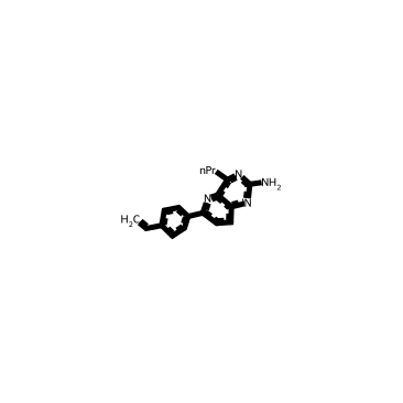 C=Cc1ccc(-c2ccc3nc(N)nc(CCC)c3n2)cc1